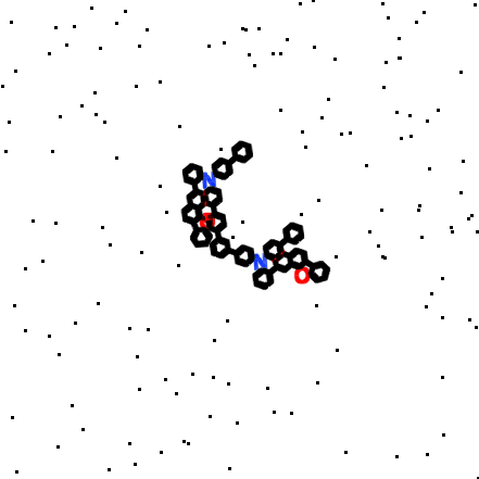 c1ccc(-c2ccc(N(c3ccc(-c4ccc(-c5cccc(-c6ccc(N(c7ccc(-c8ccccc8)cc7)c7ccccc7-c7ccc8ccc9c%10ccccc%10oc9c8c7)cc6)c5)cc4)cc3)c3ccccc3-c3ccc4c(ccc5c6ccccc6oc45)c3)cc2)cc1